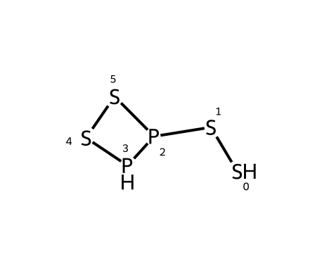 SSP1PSS1